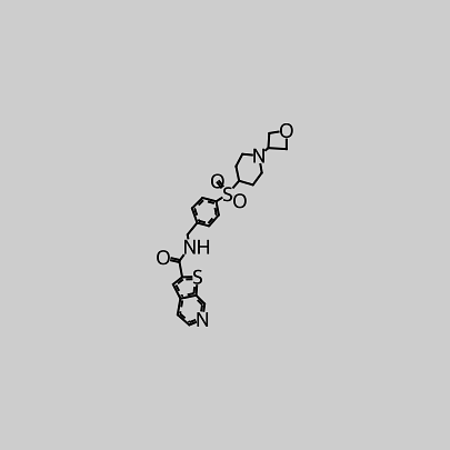 O=C(NCc1ccc(S(=O)(=O)C2CCN(C3COC3)CC2)cc1)c1cc2ccncc2s1